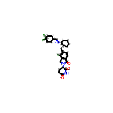 O=C1CCC(N2Cc3c(ccc(C[C@H]4CCCC[C@@H]4NCC4CCC(F)(F)CC4)c3F)C2=O)C(=O)N1